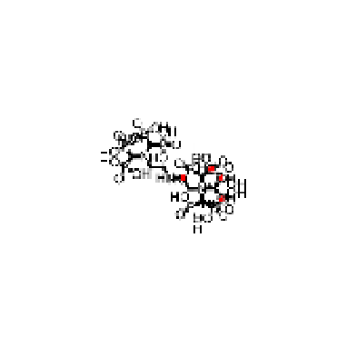 O=P(O)(O)C(N(CCNCC[N+](C(P(=O)(O)O)P(=O)(O)O)(C(P(=O)(O)O)P(=O)(O)O)C(P(=O)(O)O)P(=O)(O)O)C(P(=O)(O)O)P(=O)(O)O)P(=O)(O)O